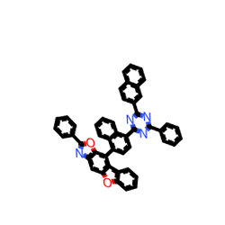 c1ccc(-c2nc(-c3ccc4ccccc4c3)nc(-c3ccc(-c4c5oc(-c6ccccc6)nc5cc5oc6ccccc6c45)c4ccccc34)n2)cc1